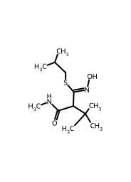 CNC(=O)C(C(=NO)SCC(C)C)C(C)(C)C